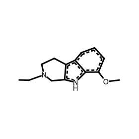 CCN1CCc2c([nH]c3c(OC)cccc23)C1